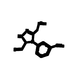 CCCCCCCCCCCC1=NNC(C=S)N1c1cccc(OC)c1